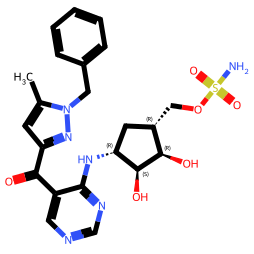 Cc1cc(C(=O)c2cncnc2N[C@@H]2C[C@H](COS(N)(=O)=O)[C@@H](O)[C@H]2O)nn1Cc1ccccc1